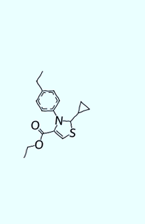 CCOC(=O)C1=CSC(C2CC2)N1c1ccc(CC)cc1